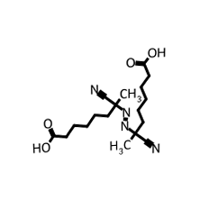 CC(C#N)(CCCCCC(=O)O)N=NC(C)(C#N)CCCCCC(=O)O